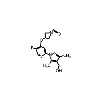 Cc1nn(-c2cc(OC3CN(C=O)C3)c(F)cn2)c(C)c1CO